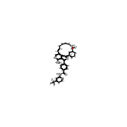 Nc1ncc2c3c1c(-c1ccc(C(=O)Nc4cc(C(F)(F)F)ccn4)cc1)nn3[C@@H]1CCC[C@H](C1)C(=O)NCCCC/C=C/2